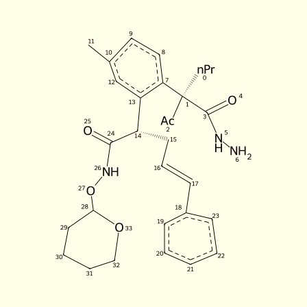 CCC[C@@](C(C)=O)(C(=O)NN)c1ccc(C)cc1[C@H](C/C=C/c1ccccc1)C(=O)NOC1CCCCO1